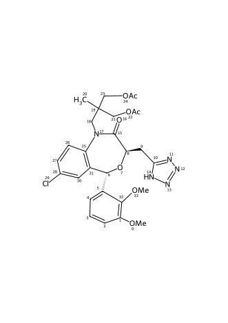 COc1cccc([C@H]2O[C@H](Cc3nnn[nH]3)C(=O)N(CC(C)(COC(C)=O)COC(C)=O)c3ccc(Cl)cc32)c1OC